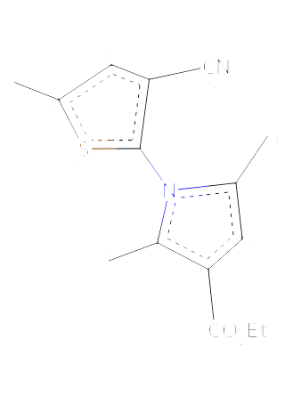 CCOC(=O)c1cc(C)n(-c2sc(C)cc2C#N)c1C